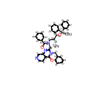 CC(C)[C@H](c1nc2cnccc2c(=O)n1Cc1ccccc1)N(C[C@@H](F)CO[Si](c1ccccc1)(c1ccccc1)C(C)(C)C)C(=O)c1ccccc1